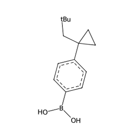 CC(C)(C)CC1(c2ccc(B(O)O)cc2)CC1